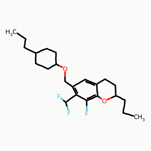 CCCC1CCC(OCc2cc3c(c(F)c2C(F)F)OC(CCC)CC3)CC1